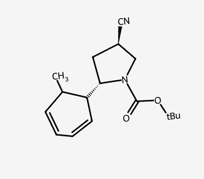 CC1C=CC=CC1[C@@H]1C[C@@H](C#N)CN1C(=O)OC(C)(C)C